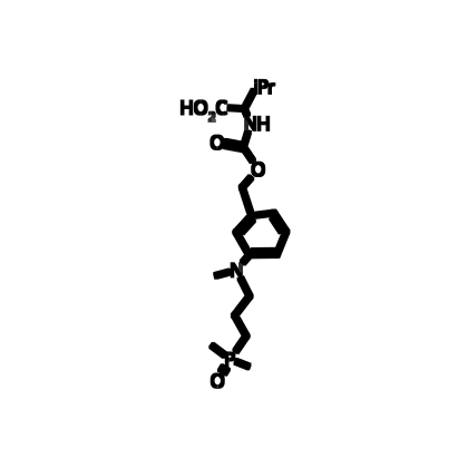 CC(C)C(NC(=O)OCc1cccc(N(C)CCCP(C)(C)=O)c1)C(=O)O